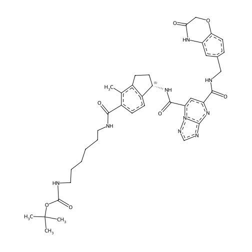 Cc1c(C(=O)NCCCCCCNC(=O)OC(C)(C)C)ccc2c1CC[C@@H]2NC(=O)c1cc(C(=O)NCc2ccc3c(c2)NC(=O)CO3)nc2ncnn12